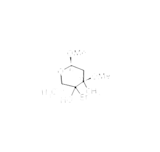 CCC1(O)[C@H](C)O[C@@H](OC)C[C@@]1(C)OC